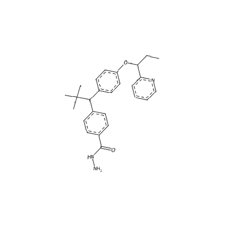 CCC(Oc1ccc(C(c2ccc(C(=O)NN)cc2)C(C)(C)C)cc1)c1ccccn1